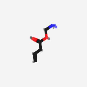 C=CCC(=O)OCN